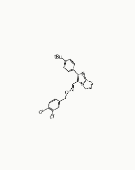 CC(C)(C)c1ccc(-c2nc3sccn3c2C=NOCc2ccc(Cl)c(Cl)c2)cc1